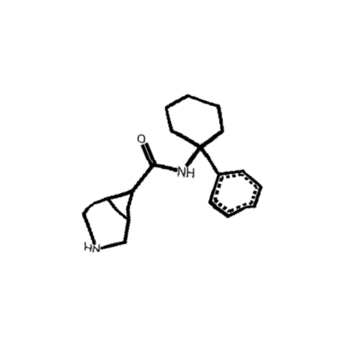 O=C(NC1(c2ccccc2)CCCCC1)C1C2CNCC21